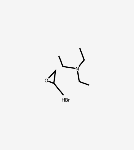 Br.CC1CO1.CCN(CC)CC